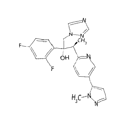 C[C@@H](c1ccc(-c2ccnn2C)cn1)[C@](O)(Cn1cncn1)c1ccc(F)cc1F